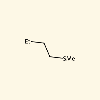 [C]SCCCC